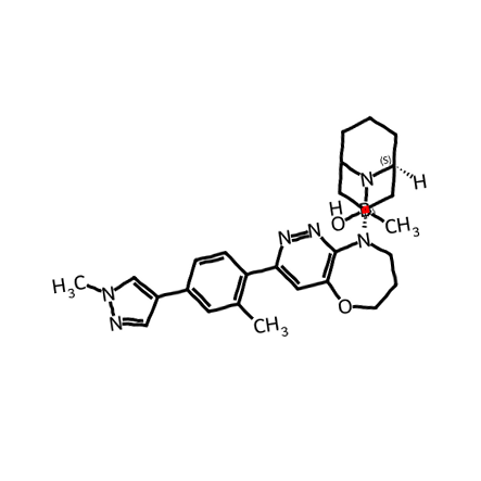 CB(O)N1C2CCC[C@H]1C[C@H](N1CCCOc3cc(-c4ccc(-c5cnn(C)c5)cc4C)nnc31)C2